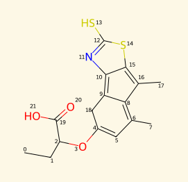 CCC(OC1=CC(C)=C2C(=c3nc(S)sc3=C2C)C1)C(=O)O